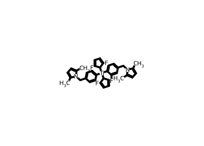 Cc1ccc(C)n1Cc1cc(F)[c]([Ti]([c]2c(F)cc(Cn3c(C)ccc3C)cc2F)([CH]2C=CC=C2)[CH]2C=CC=C2)c(F)c1